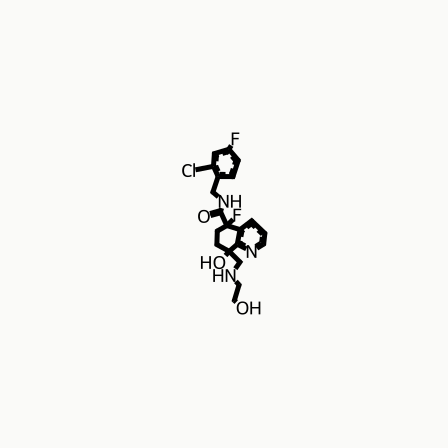 O=C(NCc1ccc(F)cc1Cl)C1(F)CCC(O)(CNCCO)c2ncccc21